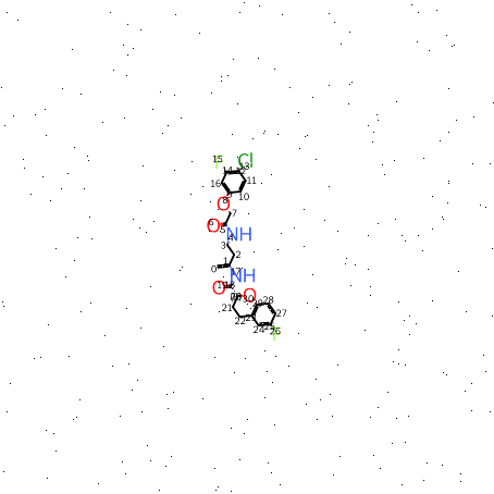 C=C(CCNC(=O)COc1ccc(Cl)c(F)c1)NC(=O)[C@H]1CCc2cc(F)ccc2O1